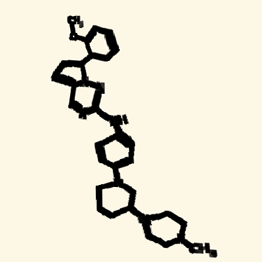 COc1ccccc1-c1ccc2cnc(Nc3ccc(N4CCCC(N5CCN(C)CC5)C4)cc3)nn12